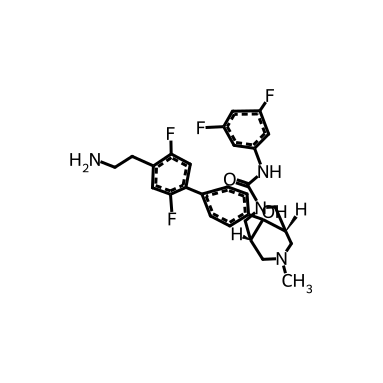 CN1C[C@@H]2CN(C(=O)Nc3cc(F)cc(F)c3)C[C@H](C1)C2(O)c1ccc(-c2cc(F)c(CCN)cc2F)cc1